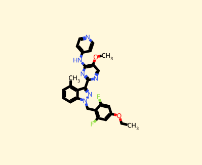 CCOc1cc(F)c(Cn2nc(-c3ncc(OC)c(Nc4ccncc4)n3)c3c(C)cccc32)c(F)c1